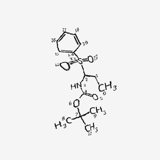 CCC(NC(=O)OC(C)(C)C)S(=O)(=O)c1ccccc1